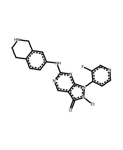 CCn1c(=O)c2cnc(Nc3ccc4c(c3)CNCC4)nc2n1-c1ccncc1F